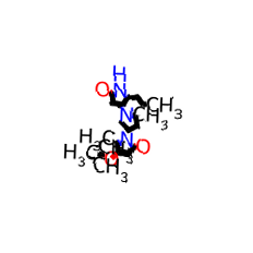 CC(C)CC1NC(=O)C=C1N1CC[C@H](N2C(=O)C=C(OC(C)(C)C)[C@@H]2C)C1